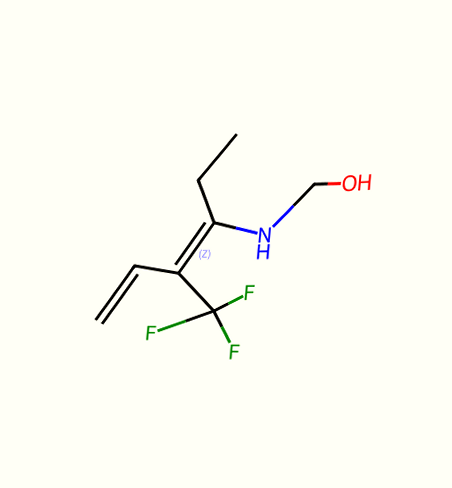 C=C/C(=C(\CC)NCO)C(F)(F)F